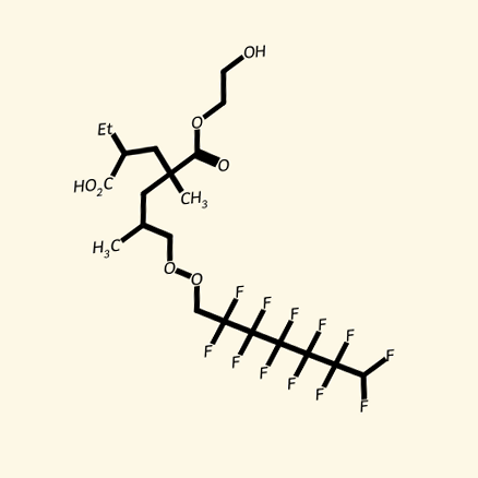 CCC(CC(C)(CC(C)COOCC(F)(F)C(F)(F)C(F)(F)C(F)(F)C(F)(F)C(F)F)C(=O)OCCO)C(=O)O